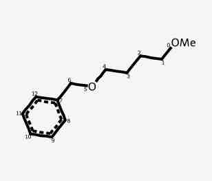 COCCCCOCc1ccccc1